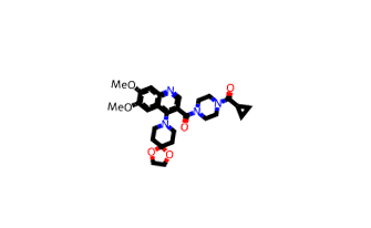 COc1cc2ncc(C(=O)N3CCN(C(=O)C4CC4)CC3)c(N3CCC4(CC3)OCCO4)c2cc1OC